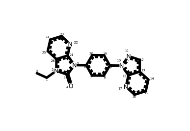 CCn1c(=O)n(-c2ccc(-n3ncc4cccnc43)cc2)c2ncccc21